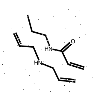 C=CC(=O)NCCC.C=CCNCC=C